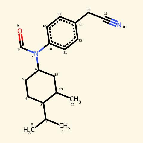 CC(C)C1CCC(N(C=O)c2ccc(CC#N)cc2)CC1C